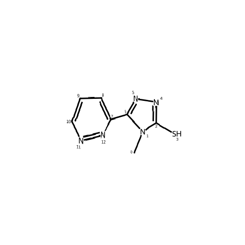 Cn1c(S)nnc1-c1cccnn1